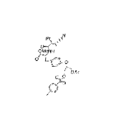 COC(=O)[C@H](Cc1ccc(OC(COC(C)=O)COS(=O)(=O)c2ccc(C)cc2)cc1)NC(=O)[C@H](N=[N+]=[N-])C(C)C